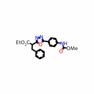 CCOC(=O)C(Cc1ccccc1)c1nnc(-c2ccc(NC(=O)OC)cc2)o1